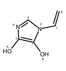 C=Cn1cnc(O)c1O